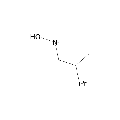 CC(C)C(C)C[N]O